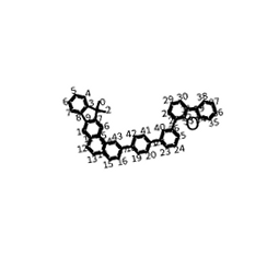 CC1(C)c2ccccc2-c2cc3ccc4ccc(-c5ccc(-c6cccc(-c7cccc8c7oc7ccccc78)c6)cc5)cc4c3cc21